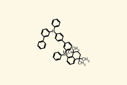 CC1(C)CCC(C)(C)c2c(N(c3ccccc3)c3cccc(-c4ccc(N(c5ccccc5)c5cccc(-c6ccccc6)c5)cc4)c3)cccc21